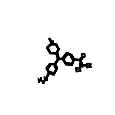 CCN(CC)C(=O)c1ccc(C(=C2CCN(C)CC2)c2ccc(N)cc2)cc1